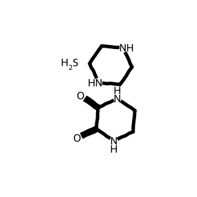 C1CNCCN1.O=C1NCCNC1=O.S